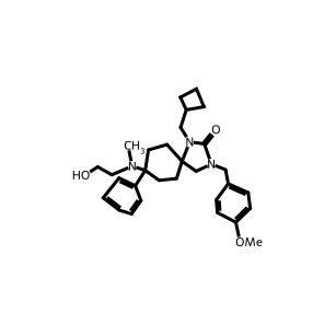 COc1ccc(CN2CC3(CCC(c4ccccc4)(N(C)CCO)CC3)N(CC3CCC3)C2=O)cc1